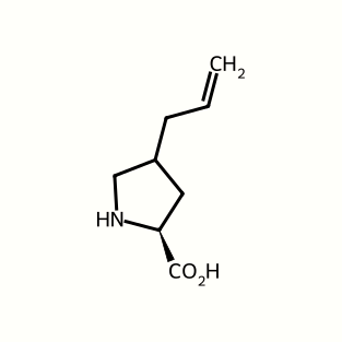 C=CCC1CN[C@H](C(=O)O)C1